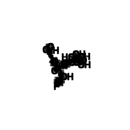 CS(=O)(=O)NCC#Cc1ccc(N2C(=O)[C@H](CC[C@H](O)c3ccc(F)cc3)[C@H]2c2ccc(CO[C@@H]3O[C@H](C(=O)O)[C@@H](O)[C@H](O)[C@H]3O)cc2)cc1